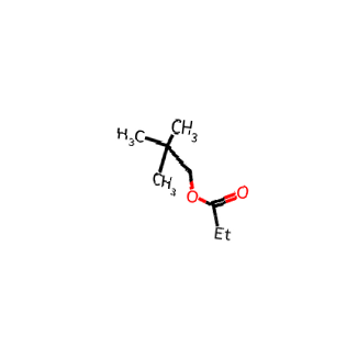 [CH2]CC(=O)OCC(C)(C)C